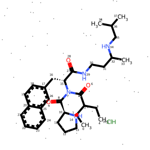 CCC(CC)C(=O)N(C(=O)[C@@H]1CCCN1)[C@H](Cc1ccc2ccccc2c1)C(=O)NCCC(C)NCC(C)C.Cl